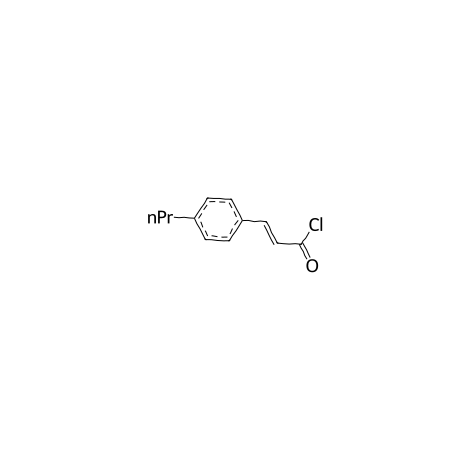 CCCc1ccc(C=CC(=O)Cl)cc1